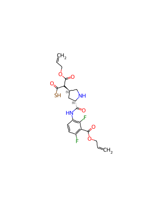 C=CCOC(=O)c1c(F)ccc(NC(=O)[C@@H]2C[C@@H](C(C(=O)S)C(=O)OCC=C)CN2)c1F